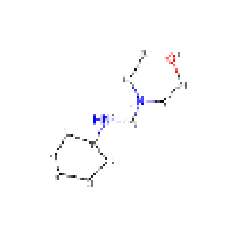 C1CCC(NCN2CCOCC2)CC1